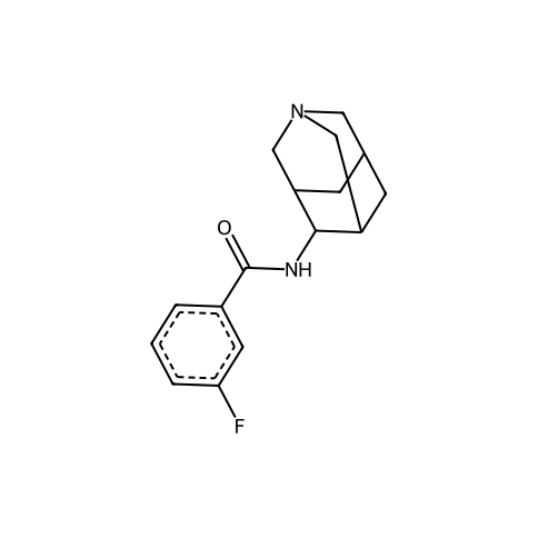 O=C(NC1C2CC3CC1CN(C3)C2)c1cccc(F)c1